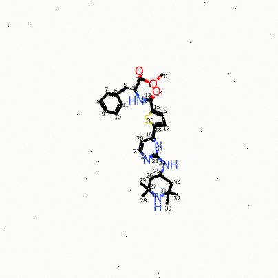 COC(=O)[C@H](Cc1ccccc1)NC(=O)c1ccc(-c2ccnc(NC3CC(C)(C)NC(C)(C)C3)n2)s1